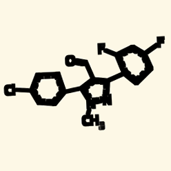 Cn1nc(-c2ccc(F)cc2F)c(C=O)c1-c1ccc(Cl)cc1